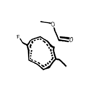 COC=O.Cc1ccc(F)cc1